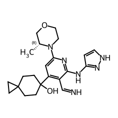 C[C@@H]1COCCN1c1cc(C2(O)CCC3(CC3)CC2)c(C=N)c(Nc2cc[nH]n2)n1